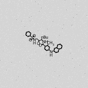 CCCCC(NC(=O)c1ccc(Nc2ccc3ccccc3c2)cc1C)C(=O)CNS(=O)(=O)c1ccccc1